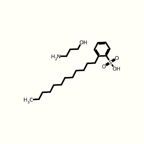 CCCCCCCCCCCCc1ccccc1S(=O)(=O)O.NCCCO